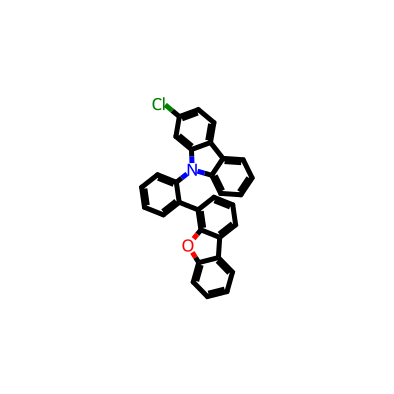 Clc1ccc2c3ccccc3n(-c3ccccc3-c3cccc4c3oc3ccccc34)c2c1